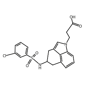 O=C(O)CCn1cc2c3c(cccc31)CC(NS(=O)(=O)c1cccc(Cl)c1)C2